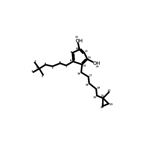 CC(C)(C)CCCCc1cc(O)cc(O)c1CCCCCC1(C)CC1